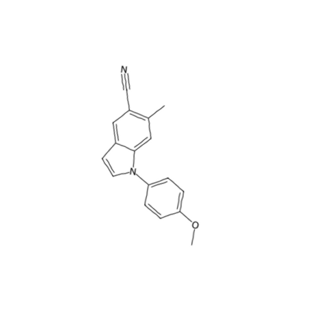 COc1ccc(-n2ccc3cc(C#N)c(C)cc32)cc1